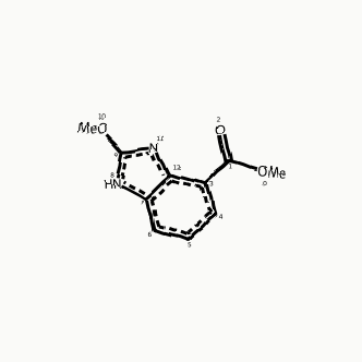 COC(=O)c1cccc2[nH]c(OC)nc12